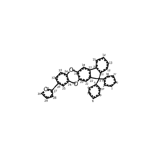 c1ccc(C2(c3ccccc3)c3ccccc3-c3cc4c(cc32)Oc2cc(-c3ccco3)ccc2O4)cc1